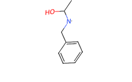 CC(O)[N]Cc1ccccc1